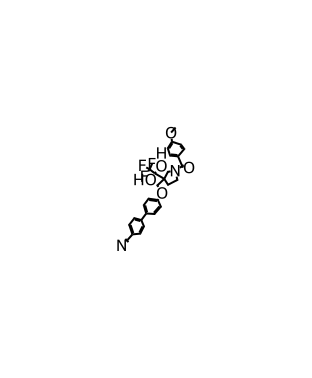 COc1ccc(C(=O)N2CCC(COc3ccc(-c4ccc(C#N)cc4)cc3)(C(O)(O)C(F)(F)F)C2)cc1